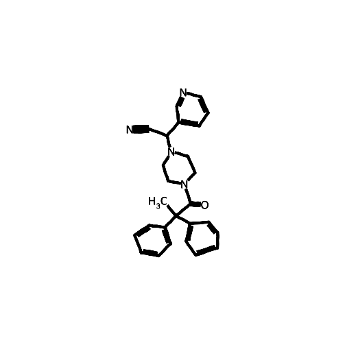 CC(C(=O)N1CCN(C(C#N)c2cccnc2)CC1)(c1ccccc1)c1ccccc1